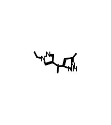 CCn1cc([C](C)c2cc(C)n[nH]2)cn1